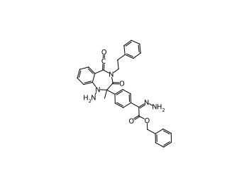 CC1(c2ccc(C(=NN)C(=O)OCc3ccccc3)cc2)C(=O)N(CCc2ccccc2)C(=C=O)c2ccccc2N1N